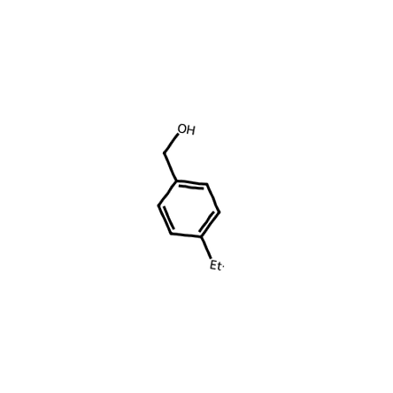 C[CH]c1ccc(CO)cc1